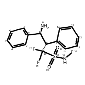 N[C@H](c1ccccc1)[C@H](c1ccccc1)C(F)(F)S(=O)(=O)NF